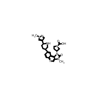 Cn1cc(C2CCC(c3ccc4ncc5c(c4c3)n([C@@H]3CCN(C(=O)O)C3)c(=O)n5C)CN2)cn1